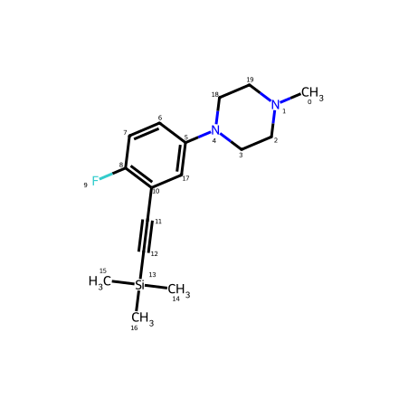 CN1CCN(c2ccc(F)c(C#C[Si](C)(C)C)c2)CC1